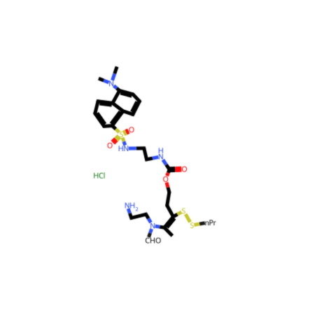 CCCSSC(CCOC(=O)NCCNS(=O)(=O)c1cccc2c(N(C)C)cccc12)=C(C)N(C=O)CCN.Cl